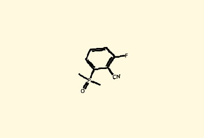 CP(C)(=O)c1cccc(F)c1C#N